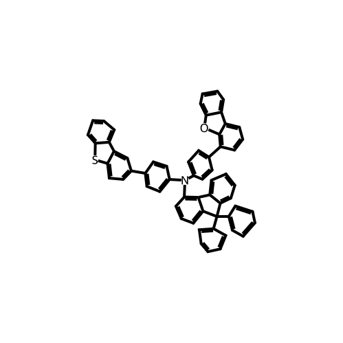 c1ccc(C2(c3ccccc3)c3ccccc3-c3c(N(c4ccc(-c5ccc6sc7ccccc7c6c5)cc4)c4ccc(-c5cccc6c5oc5ccccc56)cc4)cccc32)cc1